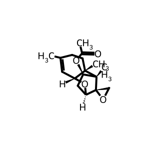 CC(=O)O[C@@H]1C[C@H]2O[C@@H]3C=C(C)CC[C@]3(C)[C@]1(C)[C@@]21CO1